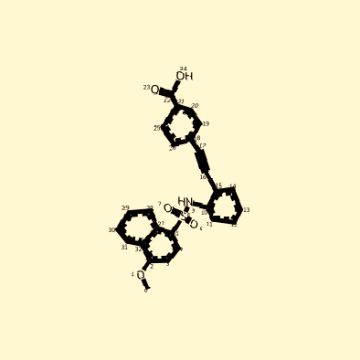 COc1ccc(S(=O)(=O)Nc2ccccc2C#Cc2ccc(C(=O)O)cc2)c2ccccc12